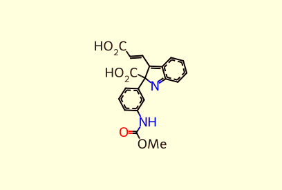 COC(=O)Nc1cccc(C2(C(=O)O)N=c3ccccc3=C2C=CC(=O)O)c1